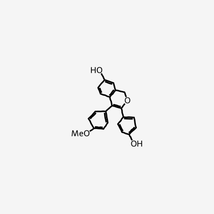 COc1ccc(C2=C(c3ccc(O)cc3)OCc3cc(O)ccc32)cc1